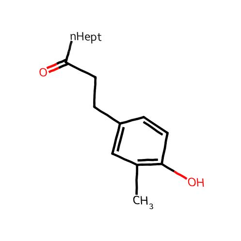 CCCCCCCC(=O)CCc1ccc(O)c(C)c1